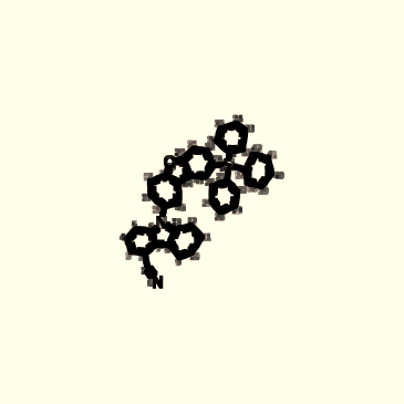 N#Cc1cccc2c1c1ccccc1n2-c1ccc2oc3ccc([Si](c4ccccc4)(c4ccccc4)c4ccccc4)cc3c2c1